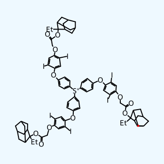 CCC1(OC(=O)COc2cc(I)c(Oc3ccc([S+](c4ccc(Oc5cc(I)c(OCC(=O)OC6(CC)C7CC8CC(C7)CC6C8)cc5I)cc4)c4ccc(Oc5cc(I)c(OCC(=O)OC6(CC)C7CC8CC(C7)CC6C8)cc5I)cc4)cc3)cc2I)C2CC3CC(C2)CC1C3